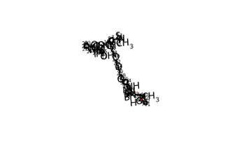 Cc1ncsc1-c1ccc(CNC(=O)[C@@H]2C[C@@H](O)CN2C(=O)C(C(C)C)N2Cc3ccccc3C2=O)c(OCCCCOCCCOCCCCOc2ccc(Nc3ncc(Br)c(NCCCN(C)C(=O)C4CCC4)n3)cc2)c1